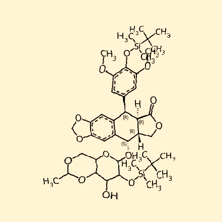 COc1cc([C@@H]2c3cc4c(cc3[C@@H](OC3OC5COC(C)OC5C(O)C3O[Si](C)(C)C(C)(C)C)[C@H]3COC(=O)[C@H]23)OCO4)cc(OC)c1O[Si](C)(C)C(C)(C)C